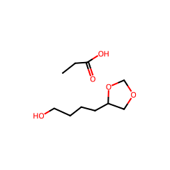 CCC(=O)O.OCCCCC1COCO1